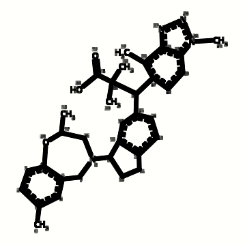 Cc1ccc2c(c1)CN(C1CCc3ccc(C(c4ccc5c(nnn5C)c4C)C(C)(C)C(=O)O)cc31)CC(C)O2